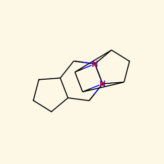 C1CC2C(C1)C1C3C4CC5C3C2N2C5C4N12